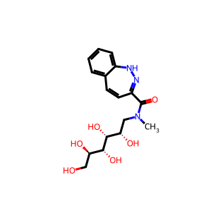 CN(C[C@H](O)[C@@H](O)[C@H](O)[C@H](O)CO)C(=O)C1=NNc2ccccc2C=C1